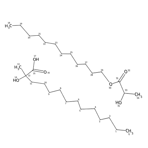 CCCCCCCCCCCCC(C)(O)C(=O)O.CCCCCCCCCCCCOC(=O)C(C)O